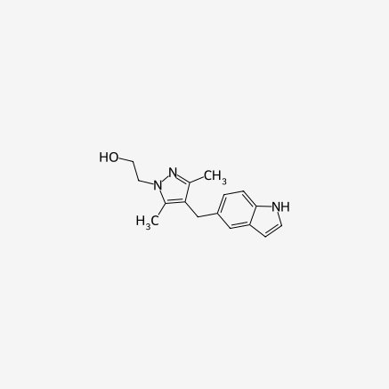 Cc1nn(CCO)c(C)c1Cc1ccc2[nH]ccc2c1